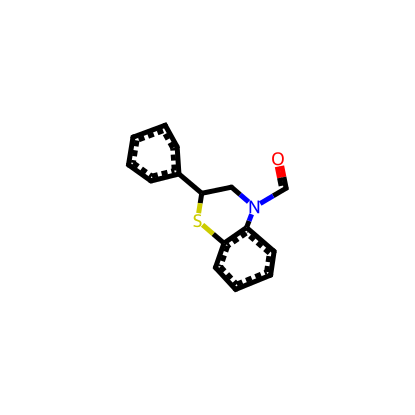 O=CN1CC(c2ccccc2)Sc2ccccc21